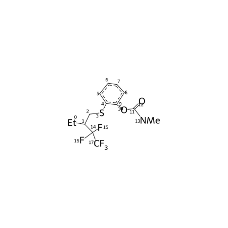 CCC(CSc1ccccc1OC(=O)NC)C(F)(F)C(F)(F)F